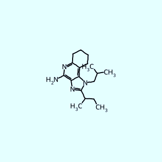 CCC(C)c1nc2c(N)nc3c(c2n1CC(C)C)CCCC3